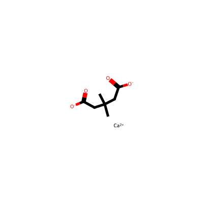 CC(C)(CC(=O)[O-])CC(=O)[O-].[Ca+2]